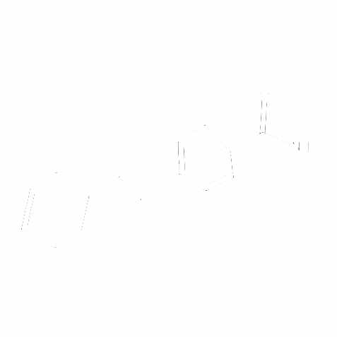 NC(=O)c1ccc(/C=C/c2ccccc2)cc1